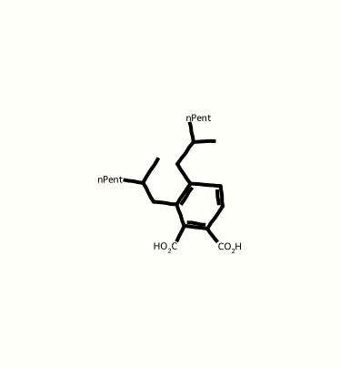 CCCCCC(C)Cc1ccc(C(=O)O)c(C(=O)O)c1CC(C)CCCCC